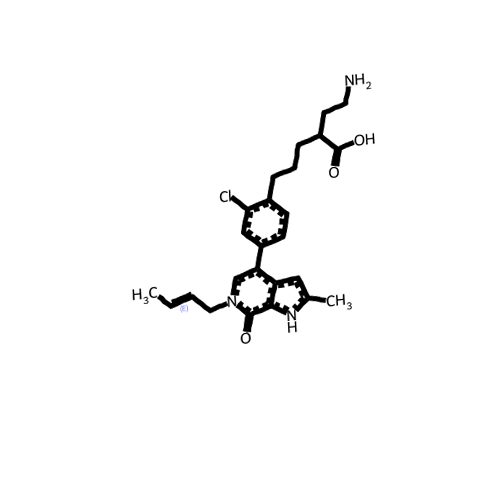 C/C=C/Cn1cc(-c2ccc(CCCC(CCN)C(=O)O)c(Cl)c2)c2cc(C)[nH]c2c1=O